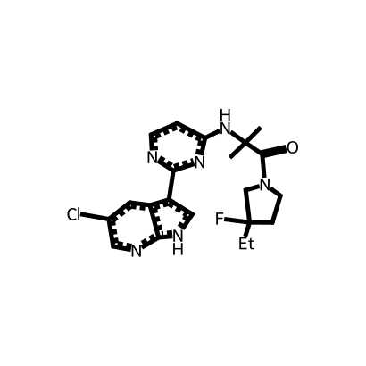 CCC1(F)CCN(C(=O)C(C)(C)Nc2ccnc(-c3c[nH]c4ncc(Cl)cc34)n2)C1